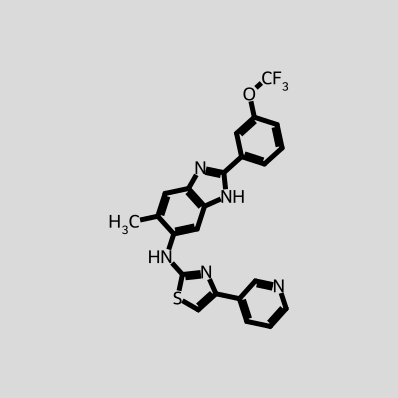 Cc1cc2nc(-c3cccc(OC(F)(F)F)c3)[nH]c2cc1Nc1nc(-c2cccnc2)cs1